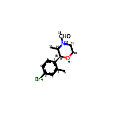 Cc1cc(Br)ccc1[C@@H]1OCCN(C=O)C1C